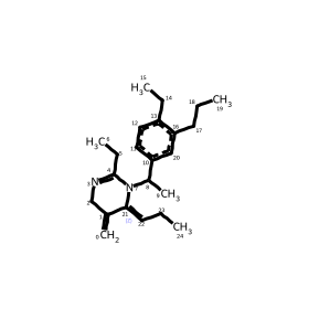 C=C1CN=C(CC)N(C(C)c2ccc(CC)c(CCC)c2)/C1=C\CC